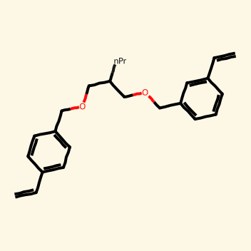 C=Cc1ccc(COCC(CCC)COCc2cccc(C=C)c2)cc1